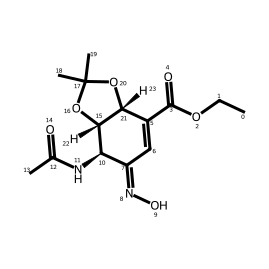 CCOC(=O)C1=C/C(=N\O)[C@@H](NC(C)=O)[C@@H]2OC(C)(C)O[C@H]12